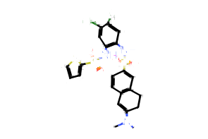 CN(C)C1=Cc2ccc(S(=O)(=O)Nc3cc(Cl)c(Cl)cc3NS(=O)(=O)c3cccs3)cc2CC1